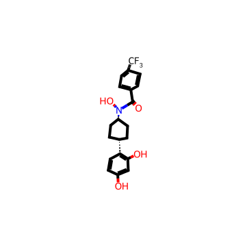 O=C(c1ccc(C(F)(F)F)cc1)N(O)[C@H]1CC[C@@H](c2ccc(O)cc2O)CC1